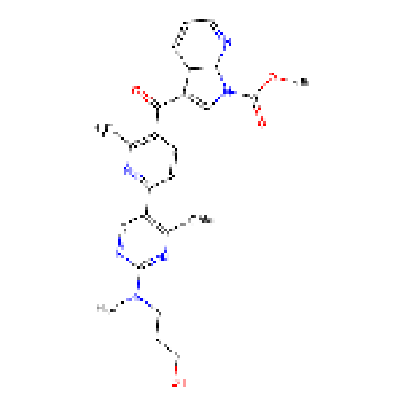 COc1nc(N(C)CCCO)ncc1-c1ccc(C(=O)C2=CN(C(=O)OC(C)(C)C)C3N=CC=CC23)c(C)n1